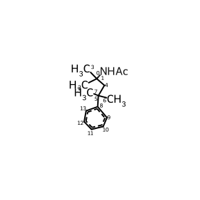 CC(=O)NC(C)(C)CC(C)(C)c1ccccc1